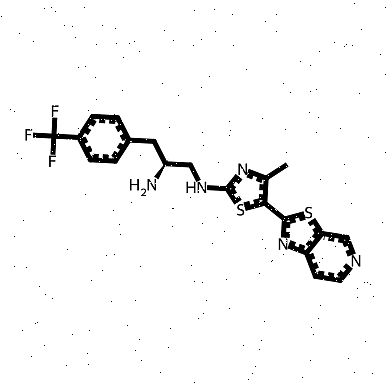 Cc1nc(NC[C@@H](N)Cc2ccc(C(F)(F)F)cc2)sc1-c1nc2ccncc2s1